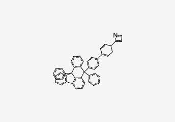 C1=CC(C2=CC=N2)CC=C1c1ccc(C2(c3ccccc3)c3ccccc3C3(c4ccccc4)c4ccccc4-c4cccc2c43)cc1